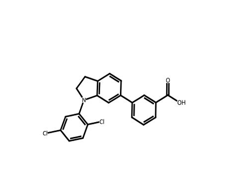 O=C(O)c1cccc(-c2ccc3c(c2)N(c2cc(Cl)ccc2Cl)CC3)c1